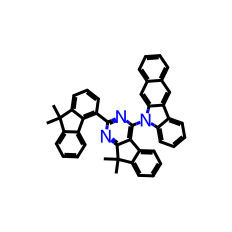 CC1(C)c2ccccc2-c2c(-c3nc(-n4c5ccccc5c5cc6ccccc6cc54)c4c(n3)C(C)(C)c3ccccc3-4)cccc21